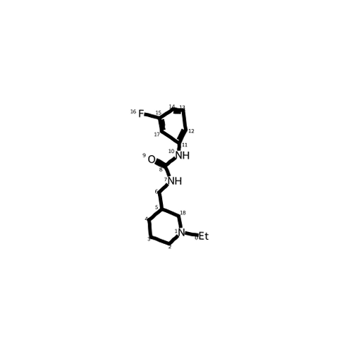 CCN1CCCC(CNC(=O)Nc2cccc(F)c2)C1